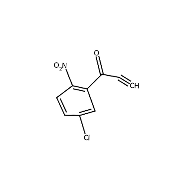 C#CC(=O)c1cc(Cl)ccc1[N+](=O)[O-]